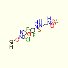 C[SiH](C)CCOCn1cc(Cl)c2c(Oc3c(F)cc(NC(=S)NCCCNC(=O)OC(C)(C)C)cc3F)ccnc21